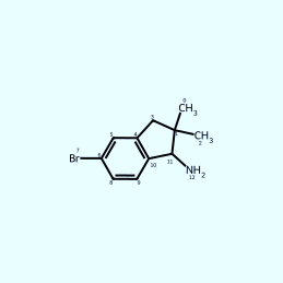 CC1(C)Cc2cc(Br)ccc2C1N